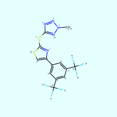 Cn1nnc(Sc2nc(-c3cc(C(F)(F)F)cc(C(F)(F)F)c3)cs2)n1